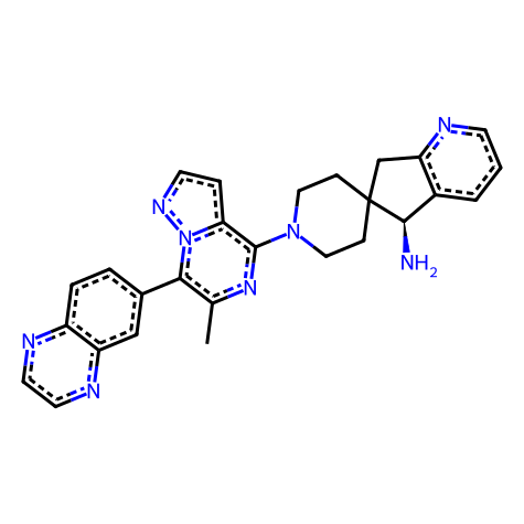 Cc1nc(N2CCC3(CC2)Cc2ncccc2[C@H]3N)c2ccnn2c1-c1ccc2nccnc2c1